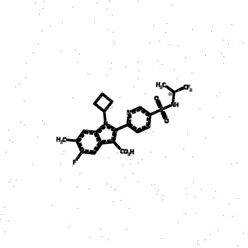 Cc1cc2c(cc1F)c(C(=O)O)c(-c1ccc(S(=O)(=O)N[C@@H](C)C(F)(F)F)cn1)n2C1CCC1